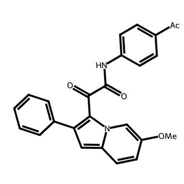 COc1ccc2cc(-c3ccccc3)c(C(=O)C(=O)Nc3ccc(C(C)=O)cc3)n2c1